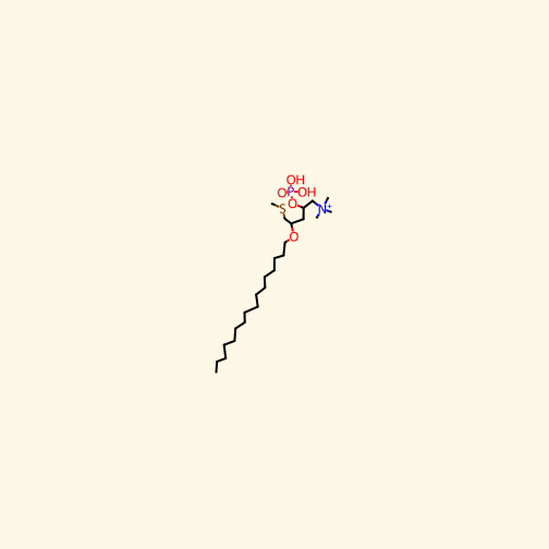 CCCCCCCCCCCCCCCCOC(CSC)CC(C[N+](C)(C)C)OP(=O)(O)O